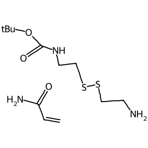 C=CC(N)=O.CC(C)(C)OC(=O)NCCSSCCN